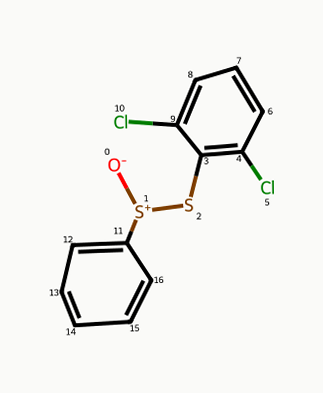 [O-][S+](Sc1c(Cl)cccc1Cl)c1ccccc1